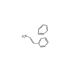 O=[N+]([O-])C=Cc1ccccc1.c1ccccc1